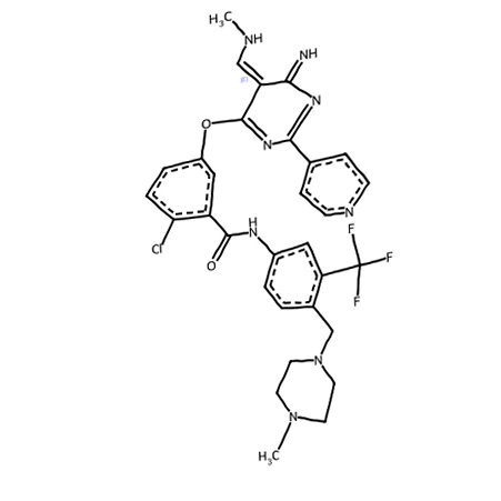 CN/C=C1\C(=N)N=C(c2ccncc2)N=C1Oc1ccc(Cl)c(C(=O)Nc2ccc(CN3CCN(C)CC3)c(C(F)(F)F)c2)c1